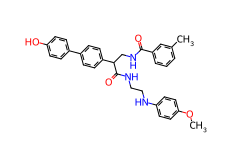 COc1ccc(NCCNC(=O)C(CNC(=O)c2cccc(C)c2)c2ccc(-c3ccc(O)cc3)cc2)cc1